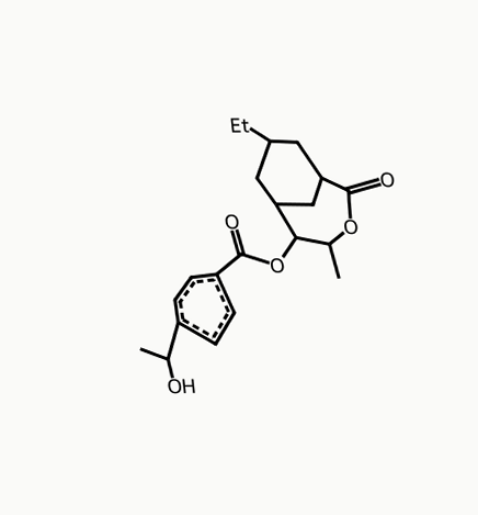 CCC1CC2CC(C1)C(OC(=O)c1ccc(C(C)O)cc1)C(C)OC2=O